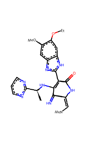 CCOc1cc2[nH]c(C3=C(N[C@@H](C)c4ncccn4)C(=N)/C(=C\NC)NC3=O)nc2cc1OC